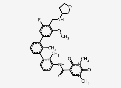 COc1cc(-c2cccc(-c3cccc(NC(=O)c4cn(C)c(=O)n(C)c4=O)c3C)c2C)cc(F)c1CNC1CCOC1